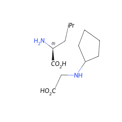 CC(C)C[C@H](N)C(=O)O.O=C(O)CNC1CCCC1